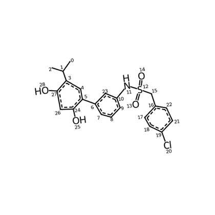 CC(C)c1cc(-c2cccc(NS(=O)(=O)Cc3ccc(Cl)cc3)c2)c(O)cc1O